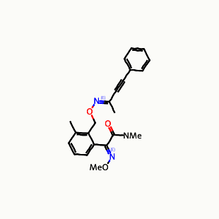 CNC(=O)/C(=N/OC)c1cccc(C)c1CO/N=C(\C)C#Cc1ccccc1